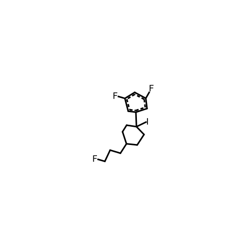 FCCCC1CCC(I)(c2cc(F)cc(F)c2)CC1